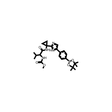 COC(=O)NC(C(=O)NC1(c2ncc(-c3ccc(B4OC(C)(C)C(C)(C)O4)cc3)[nH]2)CC1)C(C)C